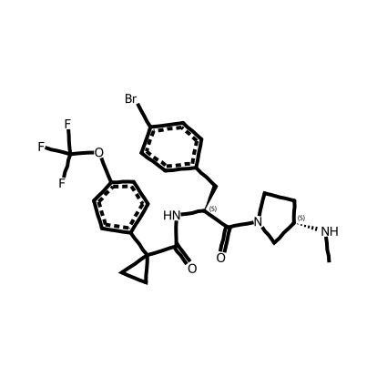 CN[C@H]1CCN(C(=O)[C@H](Cc2ccc(Br)cc2)NC(=O)C2(c3ccc(OC(F)(F)F)cc3)CC2)C1